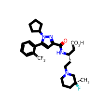 C[C@]1(F)CCCN(CC[C@@H](CC(=O)O)NC(=O)c2cc(-c3ccccc3C(F)(F)F)n(C3CCCC3)n2)C1